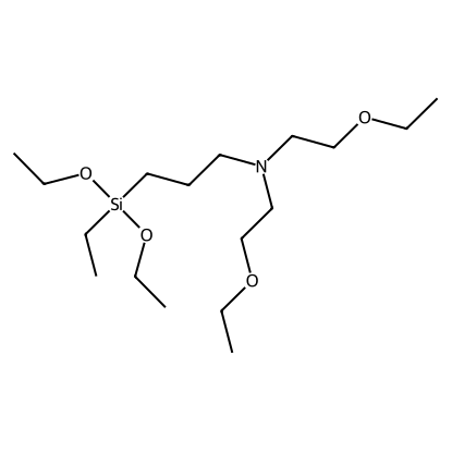 CCOCCN(CCC[Si](CC)(OCC)OCC)CCOCC